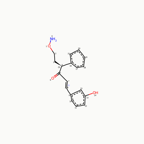 NOCC[C@H](C(=O)/C=C/c1cccc(O)c1)c1ccccc1